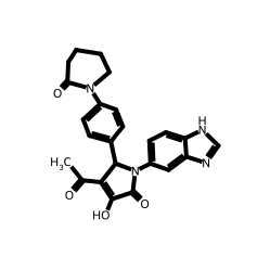 CC(=O)C1=C(O)C(=O)N(c2ccc3[nH]cnc3c2)C1c1ccc(N2CCCCC2=O)cc1